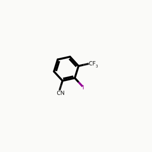 N#Cc1cccc(C(F)(F)F)c1I